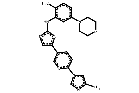 Cc1cn(-c2ccc(-c3csc(Nc4cc(N5CCSCC5)ccc4C)n3)cn2)cn1